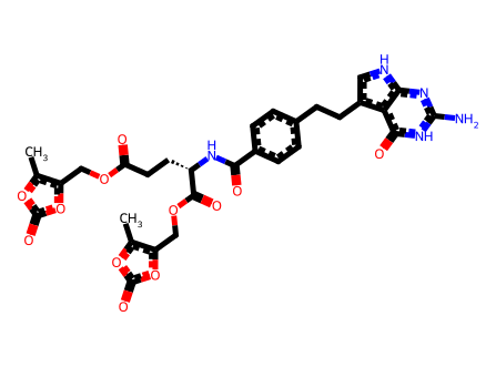 Cc1oc(=O)oc1COC(=O)CC[C@H](NC(=O)c1ccc(CCc2c[nH]c3nc(N)[nH]c(=O)c23)cc1)C(=O)OCc1oc(=O)oc1C